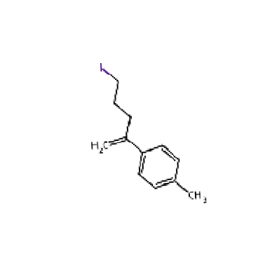 C=C(CCCI)c1ccc(C)cc1